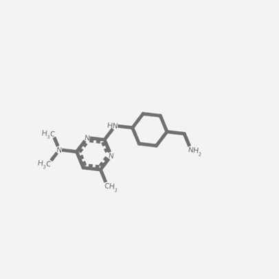 Cc1cc(N(C)C)nc(NC2CCC(CN)CC2)n1